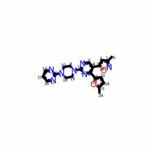 Cc1cc(-c2cnc(N3CCN(c4ncccn4)CC3)nc2-c2ccc(C)o2)on1